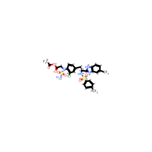 NS(=O)(=O)N(CC(=O)OC(=O)C(F)(F)F)c1ccc(C[C@H](NS(=O)(=O)c2ccc(C(F)(F)F)cc2)c2nc3cc(C(F)(F)F)ccc3[nH]2)cc1Cl